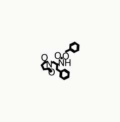 O=C(NC(Cc1ccccc1)CN1C(=O)CCC1=O)OCc1ccccc1